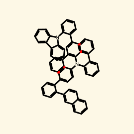 c1ccc(-c2ccccc2N(c2ccc(-c3ccccc3-c3ccc4ccccc4c3)cc2)c2ccc(-c3ccccc3-n3c4ccccc4c4ccccc43)cc2-c2ccccc2)cc1